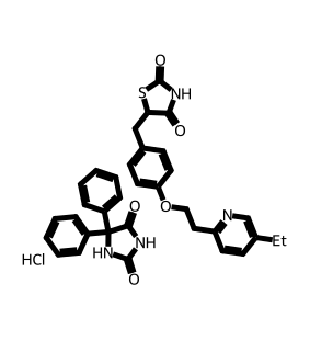 CCc1ccc(CCOc2ccc(CC3SC(=O)NC3=O)cc2)nc1.Cl.O=C1NC(=O)C(c2ccccc2)(c2ccccc2)N1